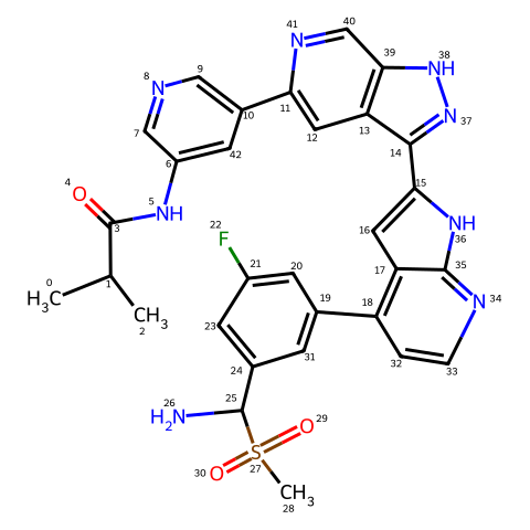 CC(C)C(=O)Nc1cncc(-c2cc3c(-c4cc5c(-c6cc(F)cc(C(N)S(C)(=O)=O)c6)ccnc5[nH]4)n[nH]c3cn2)c1